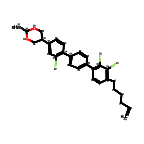 C=CCCCCc1ccc(-c2ccc(-c3ccc(C4COC(CCCCCC)OC4)cc3F)cc2)c(F)c1F